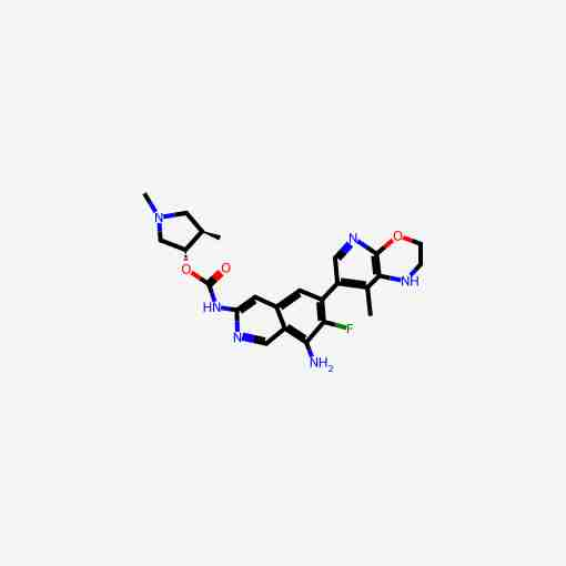 Cc1c(-c2cc3cc(NC(=O)O[C@@H]4CN(C)C[C@H]4C)ncc3c(N)c2F)cnc2c1NCCO2